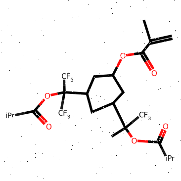 C=C(C)C(=O)OC1CC(C(C)(OC(=O)C(C)C)C(F)(F)F)CC(C(OC(=O)C(C)C)(C(F)(F)F)C(F)(F)F)C1